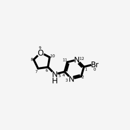 Brc1cnc(NC2CCOC2)cn1